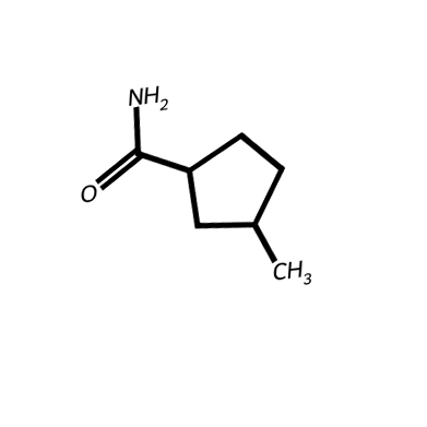 CC1CCC(C(N)=O)C1